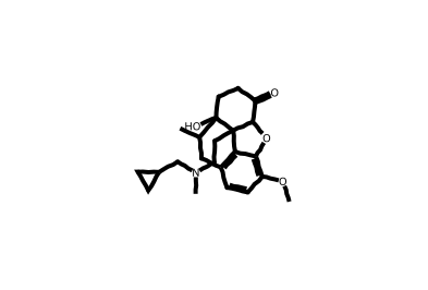 COc1ccc2c3c1OC1C(=O)CCC(O)(C(C)C2)C31CCN(C)CC1CC1